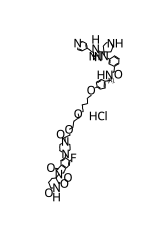 C[C@@H](NC(=O)c1cccc(NC2(c3nnc(-c4ccncc4)[nH]3)CCNCC2)c1)c1ccc(OCCCCCOCCCOCC(=O)N2CCN(c3cc4c(cc3F)C(=O)N(C3CCC(=O)NC3=O)C4=O)CC2)cc1.Cl